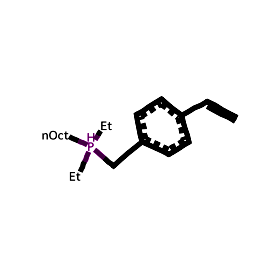 C=Cc1ccc(C[PH](CC)(CC)CCCCCCCC)cc1